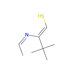 C/C=N\C(=C/S)C(C)(C)C